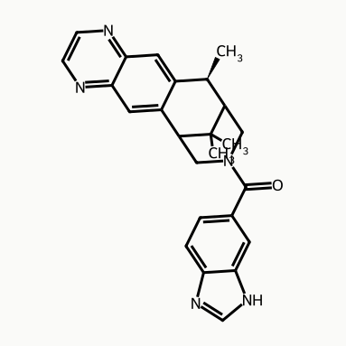 C[C@@H]1c2cc3nccnc3cc2C2CN(C(=O)c3ccc4nc[nH]c4c3)CC1C2(C)C